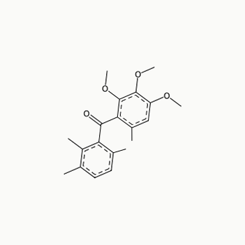 COc1cc(C)c(C(=O)c2c(C)ccc(C)c2C)c(OC)c1OC